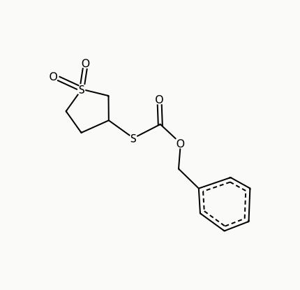 O=C(OCc1ccccc1)SC1CCS(=O)(=O)C1